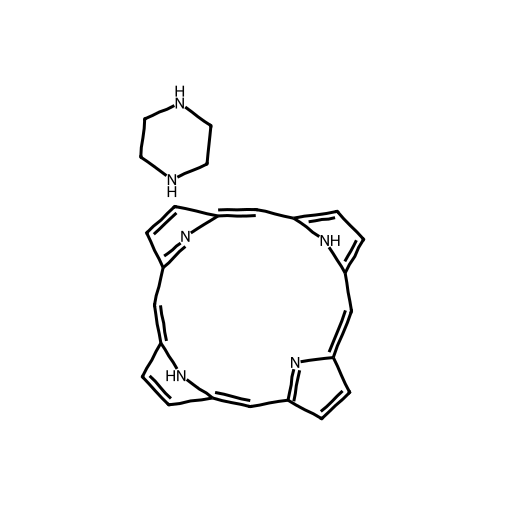 C1=Cc2cc3ccc(cc4nc(cc5ccc(cc1n2)[nH]5)C=C4)[nH]3.C1CNCCN1